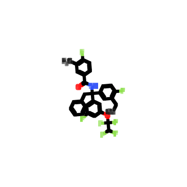 CC(C)(C)Cc1cc(C(Cc2ccccc2)(NC(=O)c2ccc(F)c(C(F)(F)F)c2)c2cc(F)cc(OC(F)(F)C(F)F)c2)ccc1F